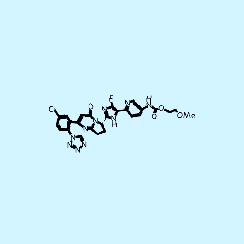 COCCOC(=O)Nc1ccc(-c2[nH]c([C@@H]3CCc4nc(-c5cc(Cl)ccc5-n5cnnn5)cc(=O)n43)nc2F)nc1